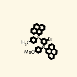 COc1ccc(N(C2=C3C=CC=C4C=CC5=CC=CC(=C2)C5C43)c2cc(Br)cc(N(c3ccc(C)cc3)c3cc4cccc5ccc6cccc3c6c54)c2)cc1